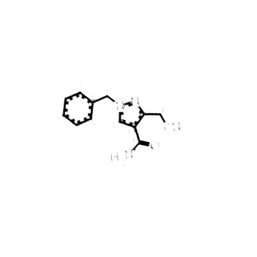 N#CCc1nn(Cc2ccccc2)cc1C(N)=O